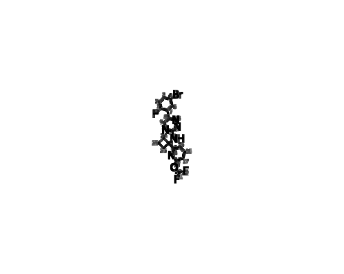 Fc1ccc(Br)cc1-c1cnc(NC2(c3cccc(OC(F)F)n3)CCC2)nn1